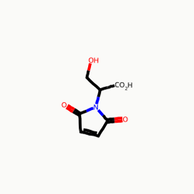 O=C(O)C(CO)N1C(=O)C=CC1=O